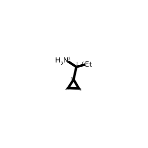 CC[C](N)C1CC1